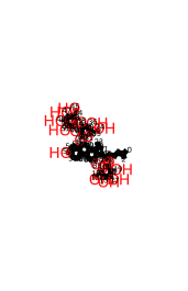 CC(C)=CCC[C@](C)(O[C@@H]1O[C@H](CO)[C@@H](O)[C@H](O)[C@H]1O)[C@H]1CC(C)[C@]2(C)C3C[C@@H](O[C@@H]4O[C@H](CO)[C@@H](O)[C@H](O)[C@H]4O[C@@H]4O[C@H](CO)[C@@H](O)[C@H](O)[C@H]4O)C4C(C)(C)C(O)CC[C@]4(C)C3C[C@H](O)C12